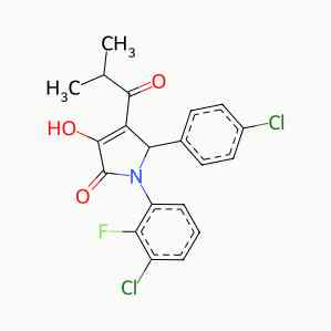 CC(C)C(=O)C1=C(O)C(=O)N(c2cccc(Cl)c2F)C1c1ccc(Cl)cc1